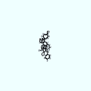 CN1C(=O)N(Cc2ccccc2)[C@@]2(CCCC3=Cc4c(cnn4-c4ccc(F)cc4)C[C@@]32C)C1=O